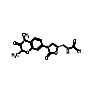 CCC(=O)NC[C@H]1CN(c2ccc3c(c2)OC(C)C(=O)N3C)C(=O)O1